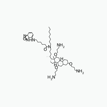 CCCCCCCCN(CCC[C@@H](C)[C@H]1CC[C@H]2C3[C@H](OCCCN)CC4C[C@H](OCCCN)CC[C@]4(C)[C@H]3C[C@H](OCCCN)[C@@]12C)C(=O)CCCCCNc1cccc2nonc12